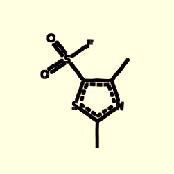 Cc1nc(C)c(S(=O)(=O)F)s1